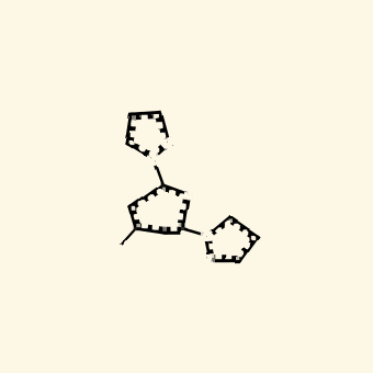 Ic1cc(-n2cccn2)nc(-n2cccn2)c1